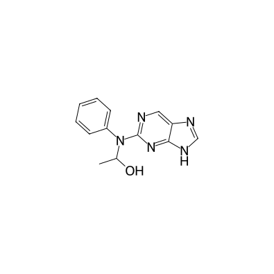 CC(O)N(c1ccccc1)c1ncc2nc[nH]c2n1